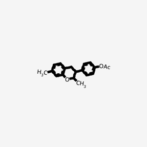 CC(=O)Oc1ccc(C2Cc3ccc(C)cc3OC2C)cc1